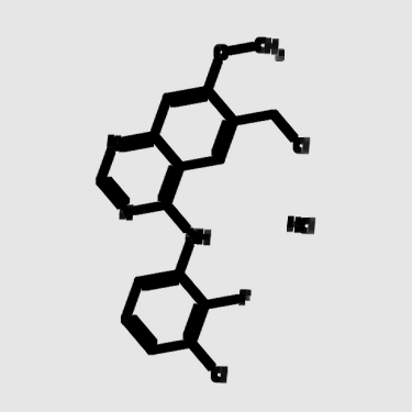 COc1cc2ncnc(Nc3cccc(Cl)c3F)c2cc1CCl.Cl